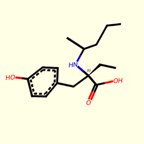 CCCC(C)N[C@@](CC)(Cc1ccc(O)cc1)C(=O)O